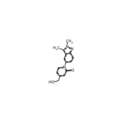 Cc1c2cc(-n3ccc(CO)cc3=O)ccc2nn1C